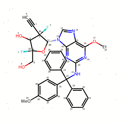 C#C[C@@]1(F)C(O)[C@@](F)(CO)O[C@H]1n1cnc2c(OCC)nc(NC(c3ccccc3)(c3ccccc3)c3ccc(OC)cc3)nc21